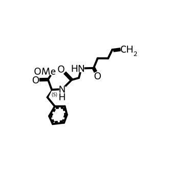 C=CCCC(=O)NCC(=O)N[C@@H](Cc1ccccc1)C(=O)OC